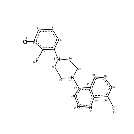 Fc1c(Cl)cccc1N1CCN(c2cnnc3c(Cl)cccc23)CC1